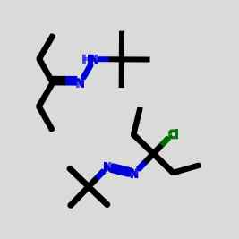 CCC(CC)=NNC(C)(C)C.CCC(Cl)(CC)N=NC(C)(C)C